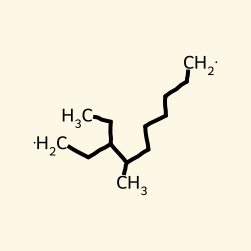 [CH2]CCCCCC(C)C(C[CH2])CC